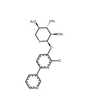 CC(=O)O[C@@H]1[C@@H](OC(C)=O)[C@@H](Oc2ccc(-c3cccnc3)nc2Cl)SC[C@H]1OC(C)=O